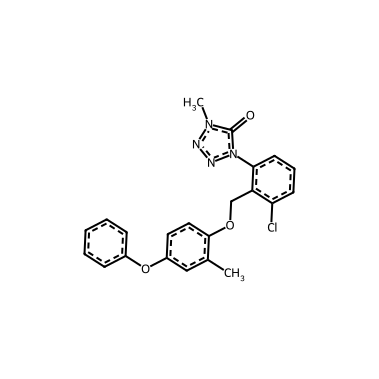 Cc1cc(Oc2ccccc2)ccc1OCc1c(Cl)cccc1-n1nnn(C)c1=O